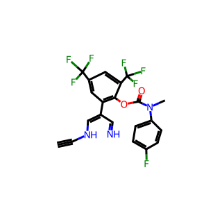 C#CN/C=C(\C=N)c1cc(C(F)(F)F)cc(C(F)(F)F)c1OC(=O)N(C)c1ccc(F)cc1